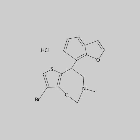 CN1CCc2c(Br)csc2C(c2cccc3ccoc23)C1.Cl